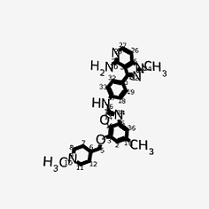 Cc1cc(OCC2CCN(C)CC2)c2oc(Nc3ccc(-c4nn(C)c5ccnc(N)c45)cc3)nc2c1